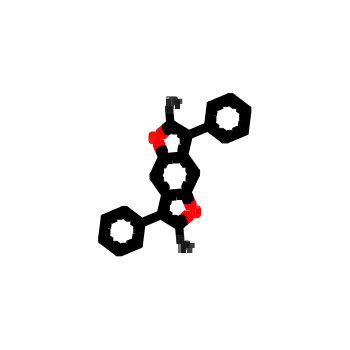 CC(C)c1oc2cc3c(-c4ccccc4)c(C(C)C)oc3cc2c1-c1ccccc1